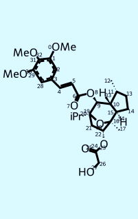 COc1cc(/C=C/C(=O)O[C@H]2[C@@H]3[C@H](C)CC[C@H]3[C@]3(C)O[C@@]2(C(C)C)C[C@H]3OC(=O)CO)cc(OC)c1OC